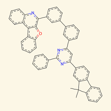 CC1(C)c2ccccc2-c2ccc(-c3cc(-c4cccc(-c5cccc(-c6nc7ccccc7c7c6oc6ccccc67)c5)c4)nc(-c4ccccc4)n3)cc21